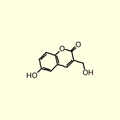 O=c1oc2ccc(O)cc2cc1CO